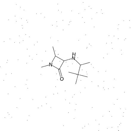 CC1C(NC(C)C(C)(C)C)C(=O)N1C